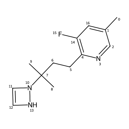 Cc1cnc(CCC(C)(C)n2cc[nH]2)c(F)c1